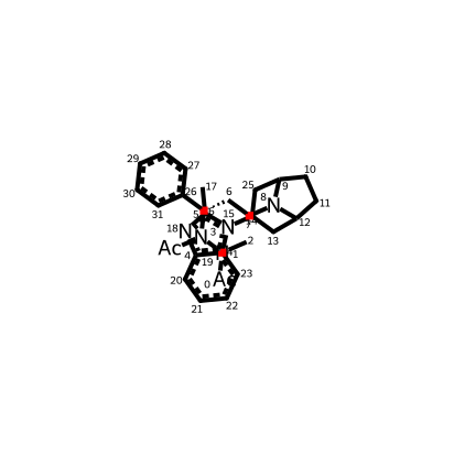 CC(=O)N(C)N(C(C)=O)[C@@H](CCN1C2CCC1CC(n1c(C)nc3ccccc31)C2)c1ccccc1